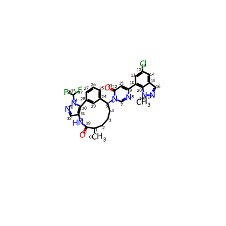 C[C@@H]1CCC[C@H](n2cnc(-c3cc(Cl)cc4cnn(C)c34)cc2=O)c2cccc(c2)-c2c(cnn2C(F)F)NC1=O